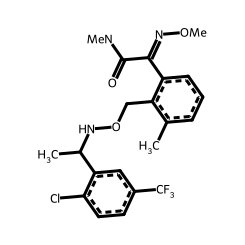 CNC(=O)/C(=N/OC)c1cccc(C)c1CONC(C)c1cc(C(F)(F)F)ccc1Cl